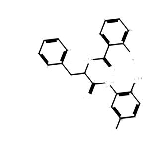 Cc1ccc(Cl)cc1NC(=O)C(Cc1ccccc1)NC(=O)c1ccccc1F